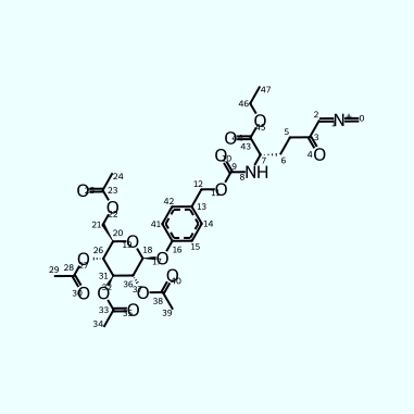 C=[N+]=CC(=O)CC[C@H](NC(=O)OCc1ccc(O[C@@H]2O[C@H](COC(C)=O)[C@@H](OC(C)=O)[C@H](OC(C)=O)[C@H]2OC(C)=O)cc1)C(=O)OCC